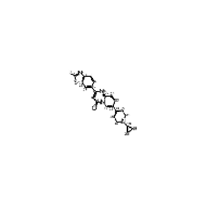 Cc1nc2ccc(-c3cc(=O)n4cc(C5=CCN(C6CC6)CC5)ccc4n3)cc2s1